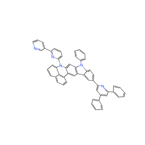 c1ccc(-c2cc(-c3ccccc3)nc(-c3ccc4c(c3)c3cc5c(cc3n4-c3ccccc3)N(c3cccc(-c4cccnc4)n3)c3cccc4cccc-5c34)c2)cc1